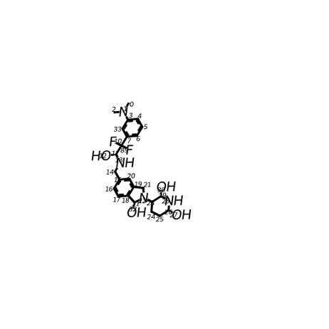 CN(C)c1cccc(C(F)(F)[C@H](O)NCc2ccc3c(c2)CN(C2CC[C@H](O)N[C@@H]2O)[C@H]3O)c1